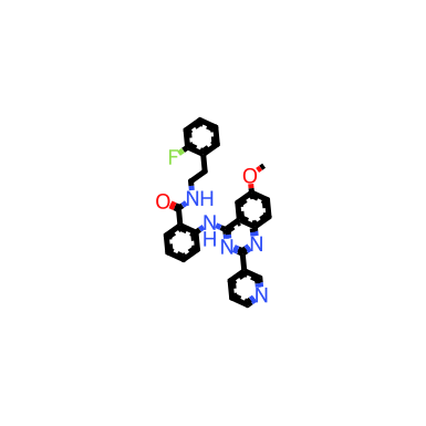 COc1ccc2nc(-c3cccnc3)nc(Nc3ccccc3C(=O)NCCc3ccccc3F)c2c1